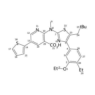 CCOc1cc(-c2nc(N(C)c3ncc(-c4cccs4)cc3C(=O)O)sc2CC(C)(C)C)ccc1CC